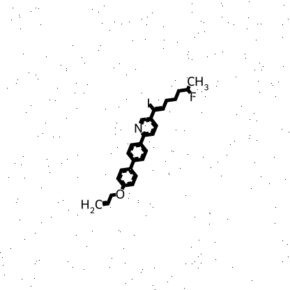 C=CCOc1ccc(-c2ccc(-c3ccc(C(I)=CCCCC(C)F)cn3)cc2)cc1